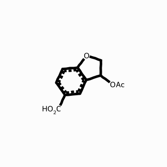 CC(=O)OC1COc2ccc(C(=O)O)cc21